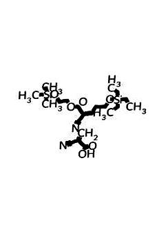 C=C(C#N)C(=O)O.CC[Si](CC)(CC)OCCC=C(C#N)C(=O)OCCO[Si](C)(C)C